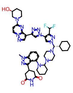 Cn1nc(C2CC(=O)NC(=O)C2)c2c(N3CCCCC3N3CCN([C@@H](C4CCCCC4)n4cc(-n5cc(-c6cnn7ccc(N8CCC[C@H](O)C8)nc67)nn5)c(C(F)F)n4)CC3)cccc21